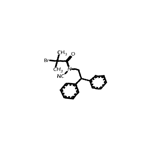 CC(C)(Br)C(=O)N(C#N)CC(c1ccccc1)c1ccccc1